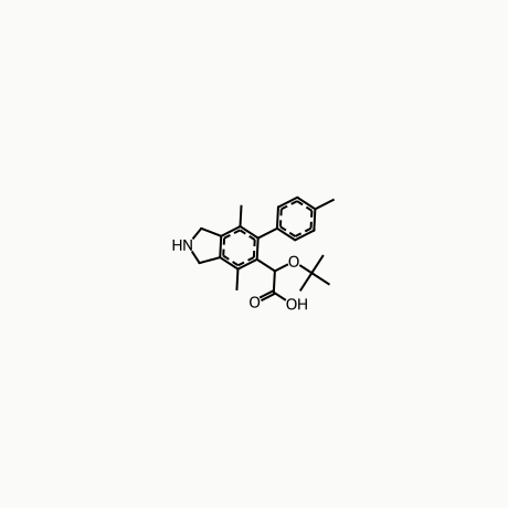 Cc1ccc(-c2c(C)c3c(c(C)c2C(OC(C)(C)C)C(=O)O)CNC3)cc1